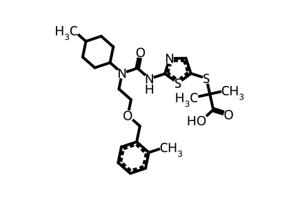 Cc1ccccc1COCCN(C(=O)Nc1ncc(SC(C)(C)C(=O)O)s1)C1CCC(C)CC1